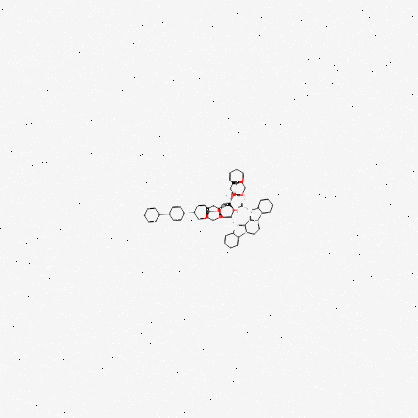 c1ccc(-c2ccc(-c3ccc(-c4cc(-c5ccccc5)cc(-n5c6ccccc6c6ccc7c8ccccc8n(-c8nc(-c9ccccc9)nc(-c9ccccc9)n8)c7c65)c4)cc3)cc2)cc1